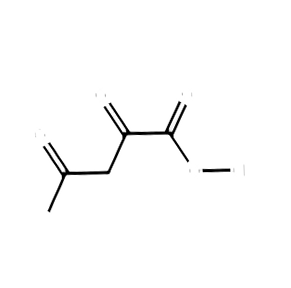 CC(=O)CC(=O)C(=O)OCl